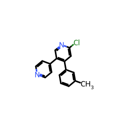 Cc1cccc(-c2cc(Cl)ncc2-c2ccncc2)c1